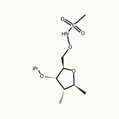 CC(C)O[C@H]1[C@@H](F)[C@H](C)O[C@@H]1CONS(C)(=O)=O